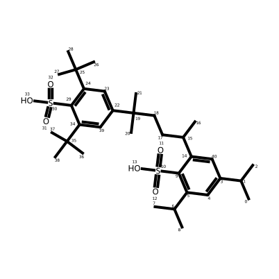 CC(C)c1cc(C(C)C)c(S(=O)(=O)O)c(C(C)CCC(C)(C)c2cc(C(C)(C)C)c(S(=O)(=O)O)c(C(C)(C)C)c2)c1